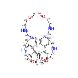 C1=C(c2ccccc2)C=C2C3=CC(c4ccccc4)=CC4CNCCOCCOCCNCC1N2CNCCOCCOCCNCN34